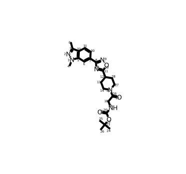 Cc1nn(C)c2cc(-c3noc(C4CCN(C(=O)CNC(=O)OC(C)(C)C)CC4)n3)ccc12